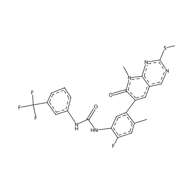 CSc1ncc2cc(-c3cc(NC(=O)Nc4cccc(C(F)(F)F)c4)c(F)cc3C)c(=O)n(C)c2n1